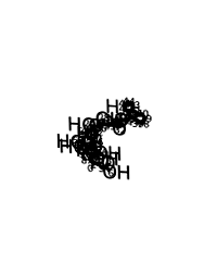 C[C@H](CCC(=O)O)[C@H]1CC[C@H]2[C@H]3[C@H](CC(O)(O)[C@]12C)[C@@]1(C)CC[C@](O)(OCC(O)CNC(=O)OCC2c4ccccc4-c4ccccc42)C[C@H]1CC3(O)O